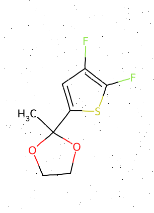 CC1(c2cc(F)c(F)s2)OCCO1